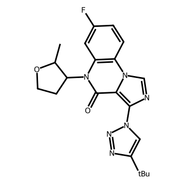 CC1OCCC1n1c(=O)c2c(-n3cc(C(C)(C)C)nn3)ncn2c2ccc(F)cc21